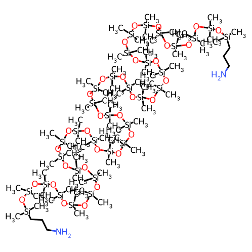 C[Si](C)(CCCN)O[Si](C)(C)O[Si](C)(C)O[Si](C)(C)O[Si](C)(C)O[Si](C)(C)O[Si](C)(C)O[Si](C)(C)O[Si](C)(C)O[Si](C)(C)O[Si](C)(C)O[Si](C)(C)O[Si](C)(C)O[Si](C)(C)O[Si](C)(C)O[Si](C)(C)O[Si](C)(C)O[Si](C)(C)O[Si](C)(C)O[Si](C)(C)O[Si](C)(C)O[Si](C)(C)O[Si](C)(C)O[Si](C)(C)O[Si](C)(C)O[Si](C)(C)O[Si](C)(C)O[Si](C)(C)O[Si](C)(C)O[Si](C)(C)O[Si](C)(C)O[Si](C)(C)CCCN